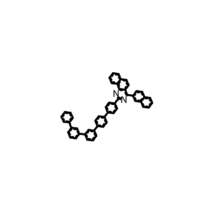 c1ccc(-c2cccc(-c3cccc(-c4ccc(-c5ccc(-c6nc(-c7ccc8ccccc8c7)c7ccc8ccccc8c7n6)cc5)cc4)c3)c2)cc1